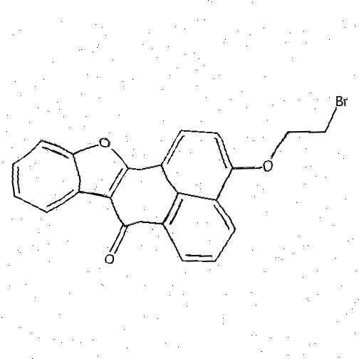 O=C1c2c(oc3ccccc23)-c2ccc(OCCBr)c3cccc1c23